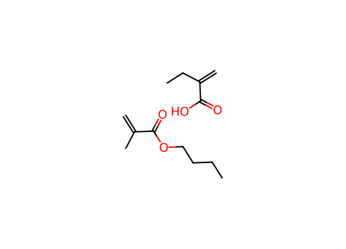 C=C(C)C(=O)OCCCC.C=C(CC)C(=O)O